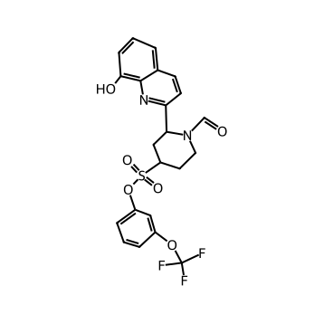 O=CN1CCC(S(=O)(=O)Oc2cccc(OC(F)(F)F)c2)CC1c1ccc2cccc(O)c2n1